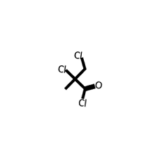 CC(Cl)(CCl)C(=O)Cl